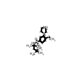 COc1ccc(S(=O)(=O)NC(C)(C)CC(C)(C)C)cc1N1CCNCC1